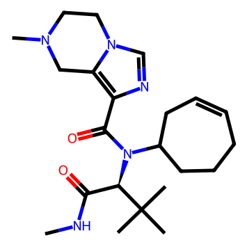 CNC(=O)[C@@H](N(C(=O)c1ncn2c1CN(C)CC2)C1CC=CCCC1)C(C)(C)C